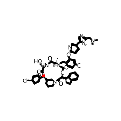 C[C@H]1C(=O)N[C@@H](CO)C(=O)N[C@@]2(Cc3ccc(Cl)cc3)CCCN(C2)C(=O)[C@H]([C@@H]2CCc3ccccc32)CC(=O)N1Cc1ccc(Cl)cc1Oc1ccc(-c2cnc(CN(C)C)n2C)cn1